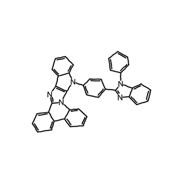 c1ccc(-n2c(-c3ccc(-n4c5ccccc5c5nc6c7ccccc7c7ccccc7n6c54)cc3)nc3ccccc32)cc1